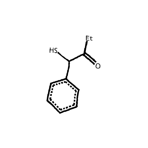 CCC(=O)C(S)c1ccccc1